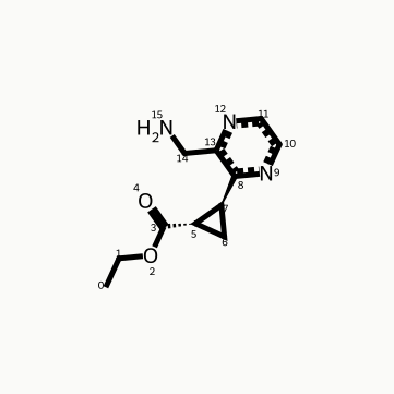 CCOC(=O)[C@H]1C[C@@H]1c1nccnc1CN